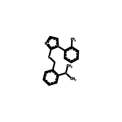 CN(C)c1ccccc1CSc1nccn1-c1ccccc1C(F)(F)F